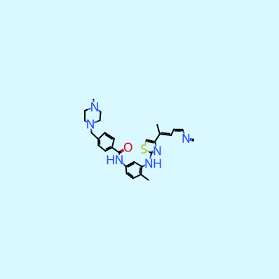 C=N/C=C\C=C(/C)c1csc(Nc2cc(NC(=O)c3ccc(CN4CCN(C)CC4)cc3)ccc2C)n1